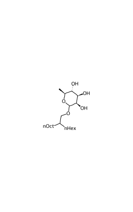 CCCCCCCCC(CCCCCC)COC1O[C@@H](C)[C@H](O)[C@@H](O)[C@H]1O